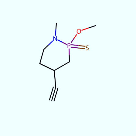 C#CC1CCN(C)P(=S)(OC)C1